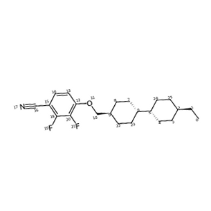 CC[C@H]1CC[C@H]([C@H]2CC[C@H](COc3ccc(C#N)c(F)c3F)CC2)CC1